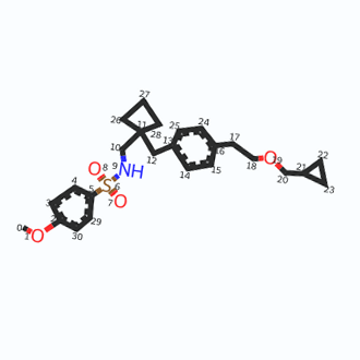 COc1ccc(S(=O)(=O)NCC2(Cc3ccc(CCOCC4CC4)cc3)CCC2)cc1